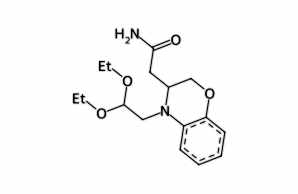 CCOC(CN1c2ccccc2OCC1CC(N)=O)OCC